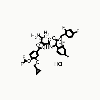 C[C@H](N)c1oc(-c2ccc(OC(F)F)c(OCC3CC3)c2)nc1C(=O)NC(C(=O)NCc1ccc(F)cc1F)c1ccc(F)cc1F.Cl